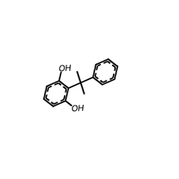 CC(C)(c1ccccc1)c1c(O)cccc1O